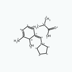 CN(C)C(=O)O.NC1=NC=CC(=CN2CCCC2)C1O